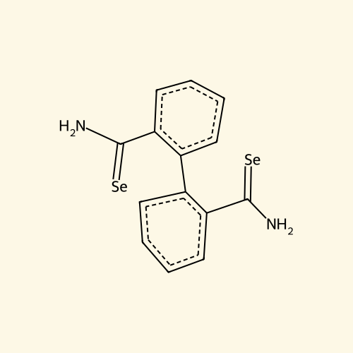 NC(=[Se])c1ccccc1-c1ccccc1C(N)=[Se]